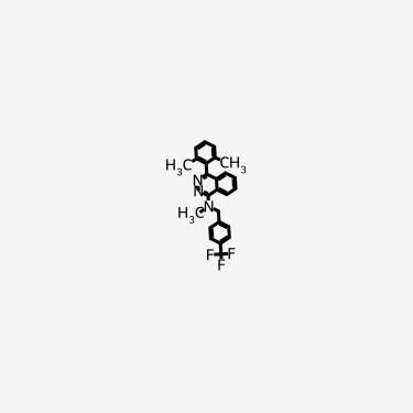 Cc1cccc(C)c1-c1nnc(N(C)Cc2ccc(C(F)(F)F)cc2)c2ccccc12